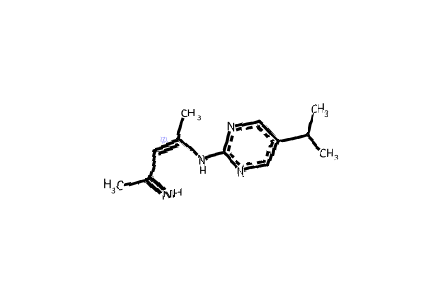 CC(=N)/C=C(/C)Nc1ncc(C(C)C)cn1